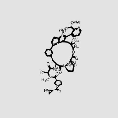 CCn1c(-c2cccnc2[C@H](C)OC)c2c3cc(ccc31)-c1cccc(c1)C[C@H](NC(=O)[C@H](C(C)C)N(C)C(=O)[C@H]1CCN(C(=O)[C@H]3CN3)C1)C(=O)N1CCC[C@H](N1)C(=O)OCC(C)(C)C2